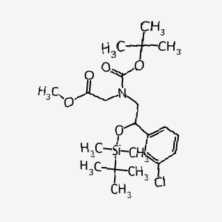 COC(=O)CN(CC(O[Si](C)(C)C(C)(C)C)c1cccc(Cl)c1)C(=O)OC(C)(C)C